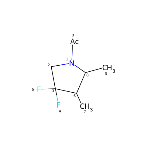 CC(=O)N1CC(F)(F)C(C)C1C